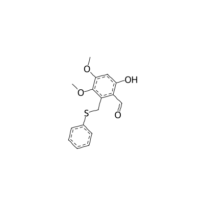 COc1cc(O)c(C=O)c(CSc2ccccc2)c1OC